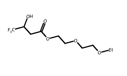 CCOCCOCCOC(=O)CC(O)C(F)(F)F